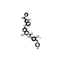 CC[C@H]1CN(C(=O)Nc2ccc(CN3CCN(C)CC3)c(C(F)(F)F)c2)Cc2cc(Oc3ccnc4[nH]c(C(=O)N5CCCC5)cc34)cnc21